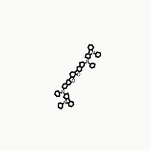 c1ccc(N(c2ccc3cc4c(cc3c2)oc2c4ccc3c4cc5ccc(N(c6ccccc6)c6ccc7c8ccccc8n(-c8ccccc8)c7c6)cc5cc4oc32)c2ccc3c4ccccc4n(-c4ccccc4)c3c2)cc1